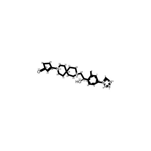 Cc1cc(-n2cnnn2)ccc1[C@@H](O)CN1CCC2(CC1)CCN(C1=CC(=O)CC1)CC2